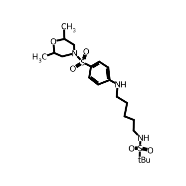 CC1CN(S(=O)(=O)c2ccc(NCCCCCNS(=O)(=O)C(C)(C)C)cc2)CC(C)O1